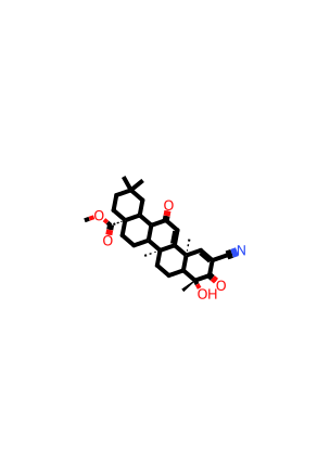 COC(=O)[C@@]12CCC3C(C(=O)C=C4[C@@]5(C)C=C(C#N)C(=O)[C@](C)(O)C5CC[C@]43C)C1CC(C)(C)CC2